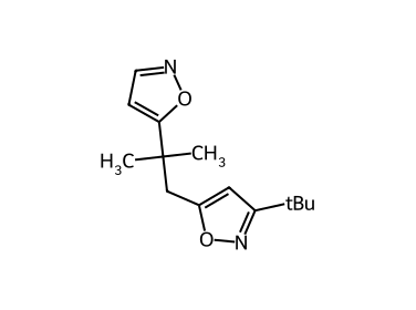 CC(C)(C)c1cc(CC(C)(C)c2ccno2)on1